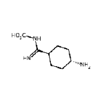 N=C(NC(=O)O)[C@H]1CC[C@H](N)CC1